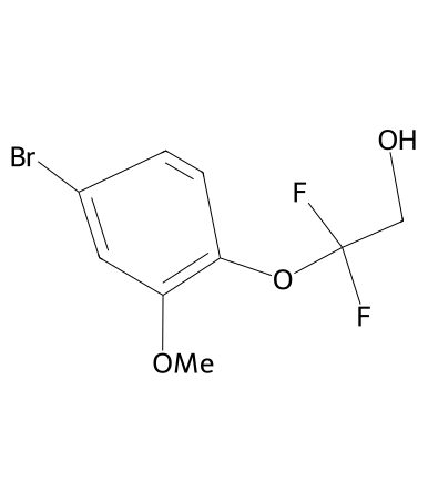 COc1cc(Br)ccc1OC(F)(F)CO